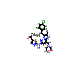 COC(=O)c1cnc(Nc2cc(CN3CCOCC3)c3nc(C)c(Cc4ccc(Cl)cc4F)n3n2)s1